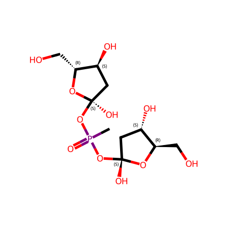 CP(=O)(O[C@]1(O)C[C@H](O)[C@@H](CO)O1)O[C@]1(O)C[C@H](O)[C@@H](CO)O1